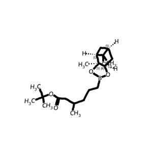 CC(CCCB1O[C@@H]2C[C@@H]3C[C@@H](C3(C)C)[C@]2(C)O1)CC(=O)OC(C)(C)C